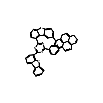 C1=Cc2ccc3ccc(-c4ccc5oc6cccc(-c7nc(-c8ccccc8)nc(-c8cccc9c8oc8ccccc89)n7)c6c5c4)c4c3c2C(=CC4)C1